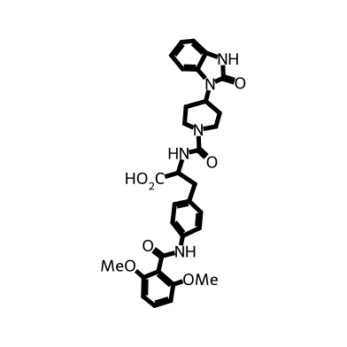 COc1cccc(OC)c1C(=O)Nc1ccc(CC(NC(=O)N2CCC(n3c(=O)[nH]c4ccccc43)CC2)C(=O)O)cc1